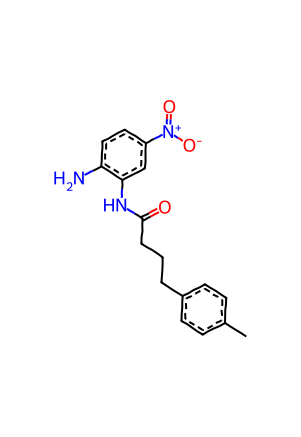 Cc1ccc(CCCC(=O)Nc2cc([N+](=O)[O-])ccc2N)cc1